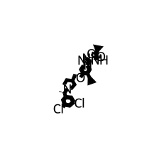 C[C@@H](c1cc(Cl)cc(Cl)c1)N1CCC(COc2cc3nnc(NS(=O)(=O)C4CC4)n3cc2C2CC2)CC1